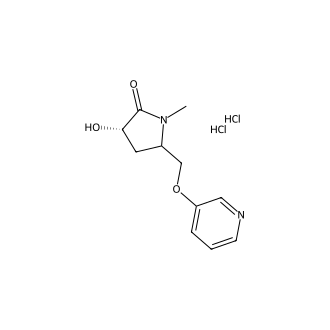 CN1C(=O)[C@@H](O)CC1COc1cccnc1.Cl.Cl